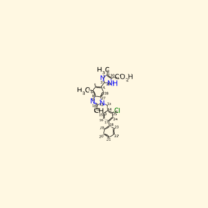 Cc1nc(-c2cc(C)c3nc(C)n(Cc4ccc(-c5ccccc5)cc4Cl)c3c2)[nH]c1C(=O)O